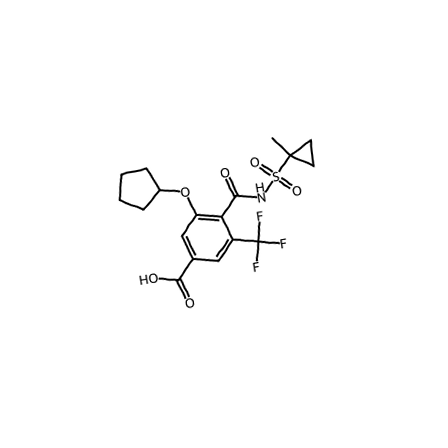 CC1(S(=O)(=O)NC(=O)c2c(OC3CCCC3)cc(C(=O)O)cc2C(F)(F)F)CC1